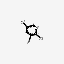 Fc1cc(Cl)cnc1Cl